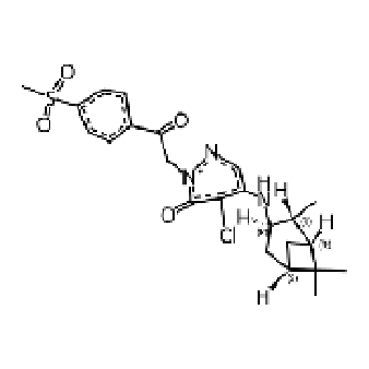 C[C@@H]1[C@H]2C[C@@H](C[C@H]1Nc1cnn(CC(=O)c3ccc(S(C)(=O)=O)cc3)c(=O)c1Cl)C2(C)C